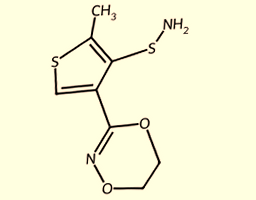 Cc1scc(C2=NOCCO2)c1SN